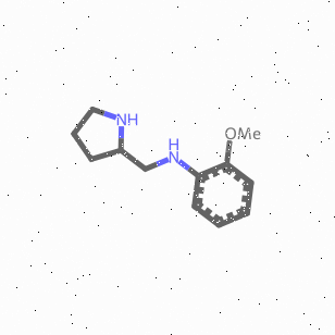 COc1ccccc1NCC1CCCN1